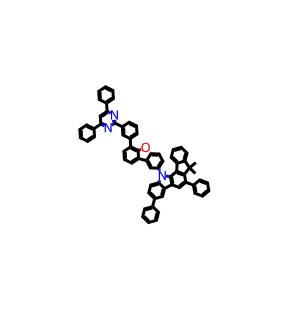 CC1(C)c2ccccc2-c2c1c(-c1ccccc1)cc1c3cc(-c4ccccc4)ccc3n(-c3ccc4oc5c(-c6cccc(-c7nc(-c8ccccc8)cc(-c8ccccc8)n7)c6)cccc5c4c3)c21